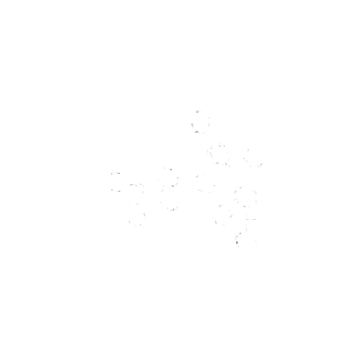 CC1(c2ccccc2)c2ccccc2-c2ccc(-c3cc(-c4nc(-c5ccccc5)nc(-c5ccccc5)n4)cc(-c4cccc5c(-c6nc7ccccc7c7ccncc67)cccc45)c3)cc21